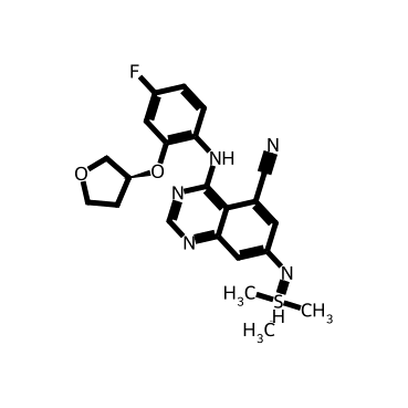 C[SH](C)(C)=Nc1cc(C#N)c2c(Nc3ccc(F)cc3O[C@H]3CCOC3)ncnc2c1